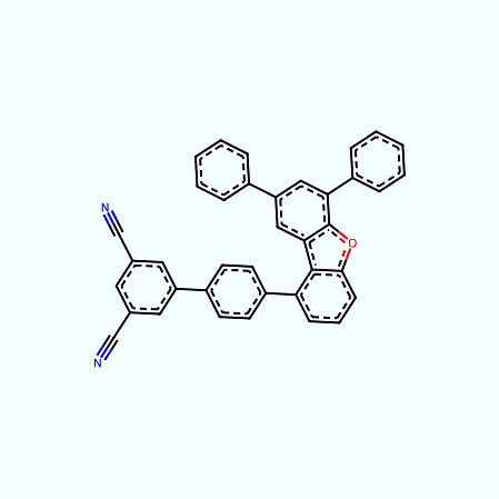 N#Cc1cc(C#N)cc(-c2ccc(-c3cccc4oc5c(-c6ccccc6)cc(-c6ccccc6)cc5c34)cc2)c1